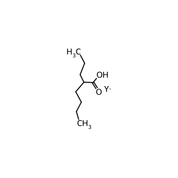 CCCCC(CCC)C(=O)O.[Y]